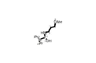 COCCCNP(O)N(C(C)C)C(C)C